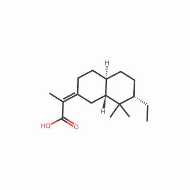 CC[C@H]1CC[C@@H]2CCC(=C(C)C(=O)O)C[C@H]2C1(C)C